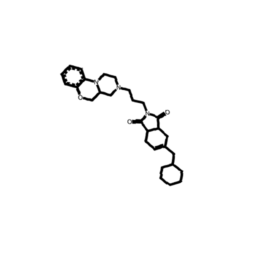 O=C1C2CC=C(CC3CCCCC3)CC2C(=O)N1CCCN1CCN2c3ccccc3OCC2C1